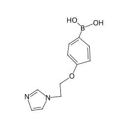 OB(O)c1ccc(OCCn2ccnc2)cc1